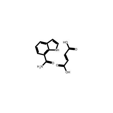 NC(=O)c1cccc2cc[nH]c12.O=C(O)C=CC(=O)O